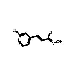 ON=C(Cl)C=Cc1cccc(Cl)c1